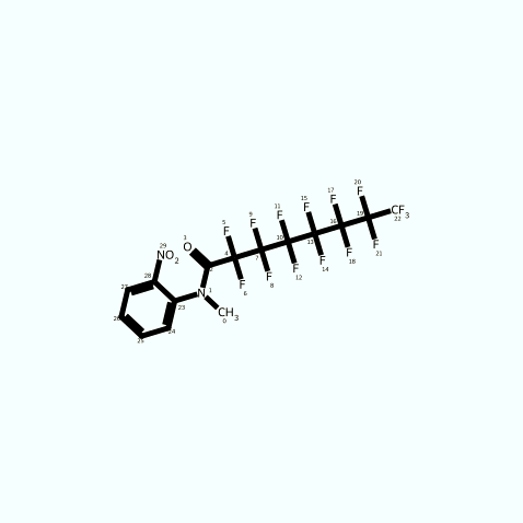 CN(C(=O)C(F)(F)C(F)(F)C(F)(F)C(F)(F)C(F)(F)C(F)(F)C(F)(F)F)c1ccccc1[N+](=O)[O-]